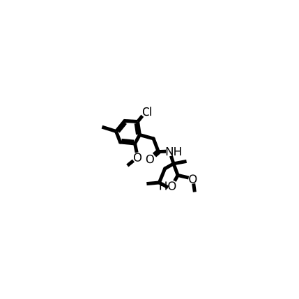 COc1cc(C)cc(Cl)c1CC(=O)NC(C)(CC(C)C)C(O)OC